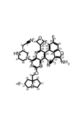 N#CC[C@H]1CN(c2nc(OCC34CCCN3C[C@H](F)C4)nc3c(N)c(-c4c(F)c(F)cc5oc(N)c(C#N)c45)c(C4COC4)nc23)CCN1